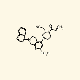 C=CC(=O)N1CCN(c2cc(C(=O)O)nc3c2CCN(c2cccc4ccccc24)C3)C[C@@H]1CC#N